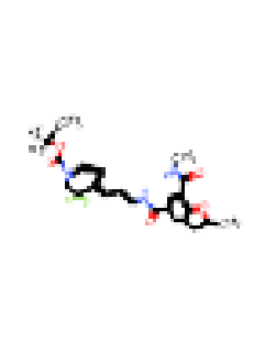 CNC(=O)c1cc(C(=O)NCCCC2CCN(C(=O)OC(C)(C)C)CC2(F)F)cc2c1OC(C)C2